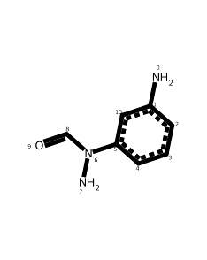 Nc1cccc(N(N)C=O)c1